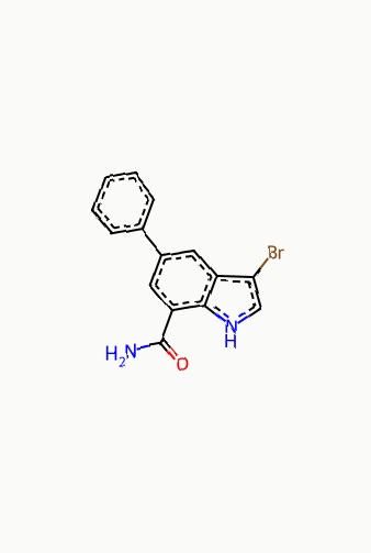 NC(=O)c1cc(-c2ccccc2)cc2c(Br)c[nH]c12